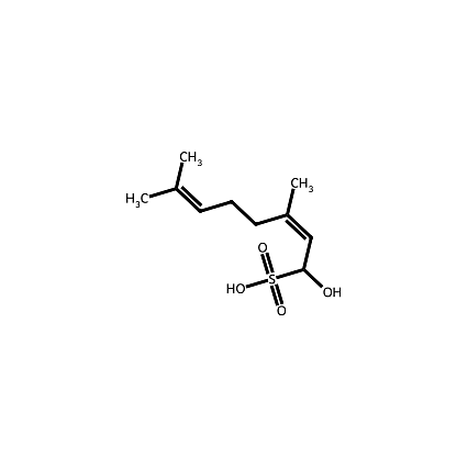 CC(C)=CCC/C(C)=C\C(O)S(=O)(=O)O